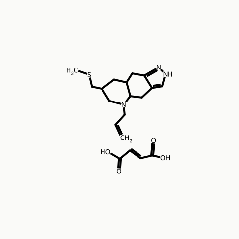 C=CCN1CC(CSC)CC2Cc3n[nH]cc3CC21.O=C(O)/C=C/C(=O)O